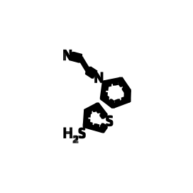 N#CC#N.S.c1ccccc1.c1ccsc1